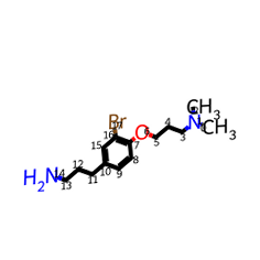 CN(C)CCCOc1ccc(CCCN)cc1Br